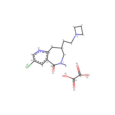 CN1CC(CCN2CCC2)Cc2ncc(Cl)cc2C1=O.O=C(O)C(=O)O